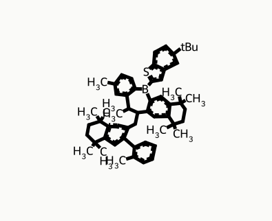 Cc1ccc2c(c1)C(C)C(Cc1cc3c(cc1-c1ccccc1C)C(C)(C)CCC3(C)C)c1cc3c(cc1B2c1cc2cc(C(C)(C)C)ccc2s1)C(C)(C)CCC3(C)C